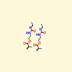 C=C(C)C(=O)OCCNC(=O)N=CC.C=C(C)C(=O)OCCNC(=O)N=CC